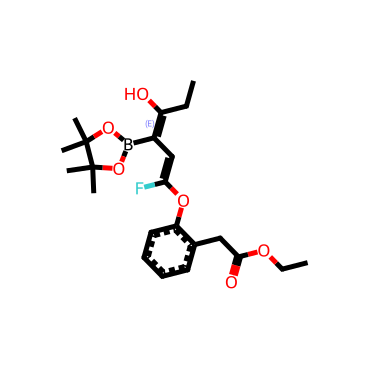 CCOC(=O)Cc1ccccc1OC(F)=C/C(B1OC(C)(C)C(C)(C)O1)=C(/O)CC